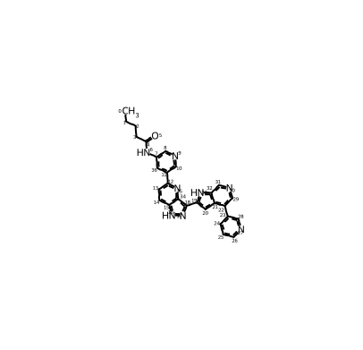 CCCCC(=O)Nc1cncc(-c2ccc3[nH]nc(-c4cc5c(-c6cccnc6)cncc5[nH]4)c3n2)c1